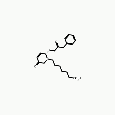 O=C(O)CCCCCCN1CC(=O)C=C[C@@H]1CCC(=O)Cc1ccccc1